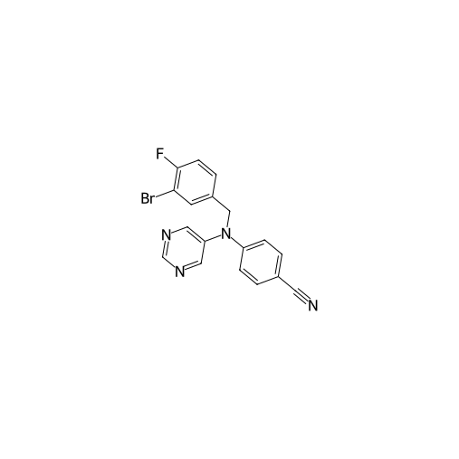 N#Cc1ccc(N(Cc2ccc(F)c(Br)c2)c2cncnc2)cc1